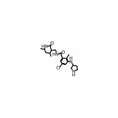 Cc1c(NC2CCNC2)cc(Cl)cc1C(=O)NCC1C(=O)NC(C)CC1C